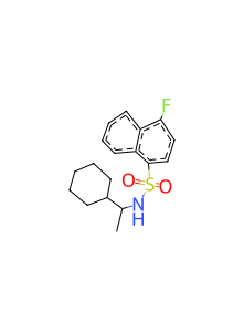 CC(NS(=O)(=O)c1ccc(F)c2ccccc12)C1CCCCC1